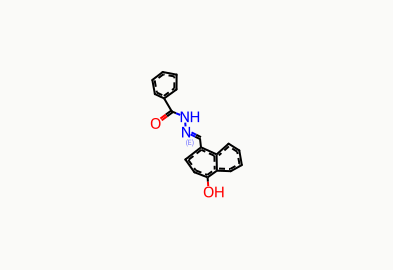 O=C(N/N=C/c1ccc(O)c2ccccc12)c1ccccc1